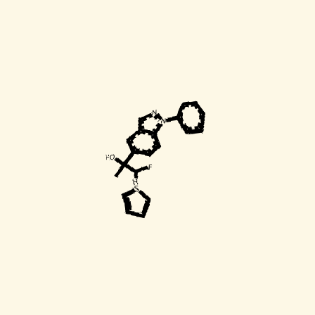 CC(O)(c1ccc2c(cnn2-c2ccccc2)c1)C(F)[SH]1C=CC=C1